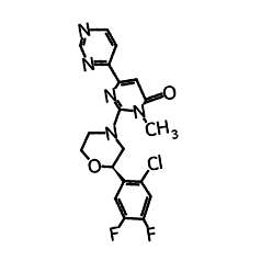 Cn1c(N2CCO[C@H](c3cc(F)c(F)cc3Cl)C2)nc(-c2ccncn2)cc1=O